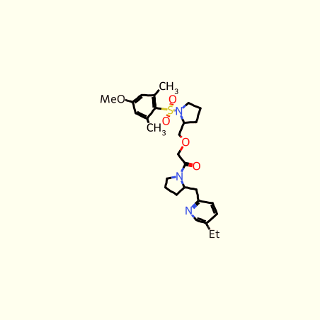 CCc1ccc(CC2CCCN2C(=O)COCC2CCCN2S(=O)(=O)c2c(C)cc(OC)cc2C)nc1